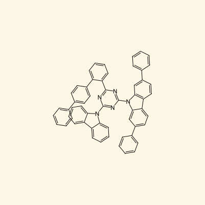 c1ccc(-c2ccc(-c3ccccc3-c3nc(-n4c5ccccc5c5ccccc54)nc(-n4c5cc(-c6ccccc6)ccc5c5ccc(-c6ccccc6)cc54)n3)cc2)cc1